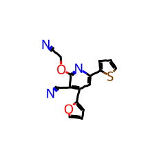 N#CCOc1nc(-c2cccs2)cc(-c2ccco2)c1C#N